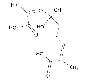 CC(=CCCC(O)(O)C=C(C)C(=O)O)C(=O)O